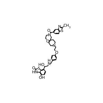 Cc1nc2cc(C(=O)N3CCOC4(CCN(CCOc5ccc(CNCC(O)c6ccc(O)c7[nH]c(=O)sc67)cc5)CC4)C3)ccc2s1